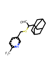 O=CC(SCc1ccc(C(F)(F)F)nc1)C12CC3CC(CC(C3)C1)C2